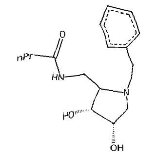 CCCC(=O)NCC1[C@@H](O)[C@@H](O)CN1Cc1ccccc1